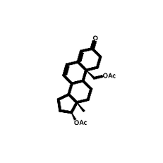 CC(=O)OC[C@]12CCC(=O)C=C1C=CC1C2CC[C@@]2(C)C1CC[C@@H]2OC(C)=O